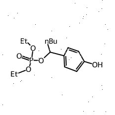 CCCCC(OP(=O)(OCC)OCC)c1ccc(O)cc1